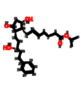 CC(C)OC(=O)CCC/C=C/C[C@H]1[C@@H](O)CC(=O)[C@@H]1CC[C@@H](O)CCc1ccccc1